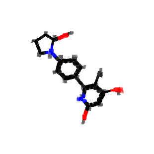 CCc1c(O)cc(=O)[nH]c1-c1ccc(N2CCCC2=O)cc1